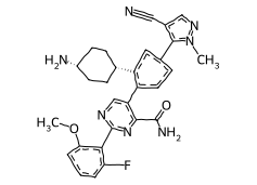 COc1cccc(F)c1-c1ncc(-c2ccc(-c3c(C#N)cnn3C)cc2[C@H]2CC[C@@H](N)CC2)c(C(N)=O)n1